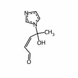 CC(O)(/C=C\C=O)n1ccnc1